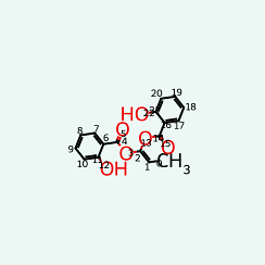 CC=C(OC(=O)c1ccccc1O)OC(=O)c1ccccc1O